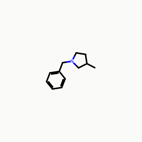 CC1[CH]CN(Cc2ccccc2)C1